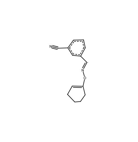 N#Cc1cccc([C]=NOC2=CCCCC2)c1